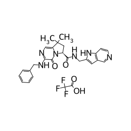 CC1(C)C[C@@H](C(=O)NCc2cc3cnccc3[nH]2)n2c1cnc(NCc1ccccc1)c2=O.O=C(O)C(F)(F)F